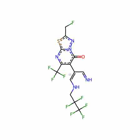 N=C/C(=C\NCC(F)(F)C(F)(F)F)c1c(C(F)(F)F)nc2sc(CF)nn2c1=O